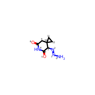 NN=NC1C(=O)NC(=O)CC12CC2